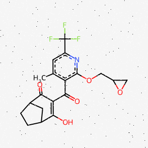 Cc1cc(C(F)(F)F)nc(OCC2CO2)c1C(=O)C1=C(O)C2CCC(C2)C1=O